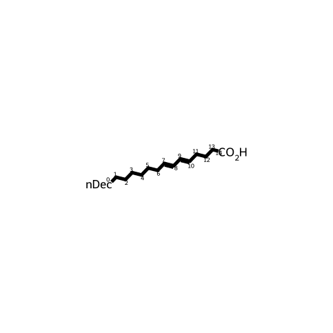 CCCCCCCCCCCCCCCC/C=C/C=C/CCCC(=O)O